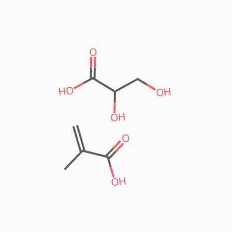 C=C(C)C(=O)O.O=C(O)C(O)CO